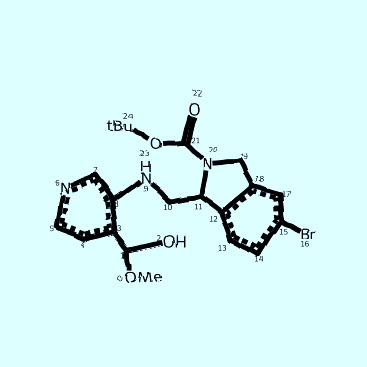 COC(O)c1ccncc1NCC1c2ccc(Br)cc2CN1C(=O)OC(C)(C)C